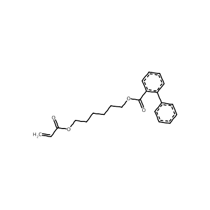 C=CC(=O)OCCCCCCOC(=O)c1ccccc1-c1ccccc1